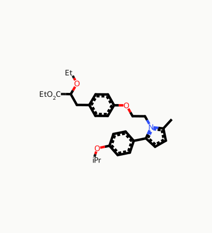 CCOC(=O)C(Cc1ccc(OCCn2c(C)ccc2-c2ccc(OC(C)C)cc2)cc1)OCC